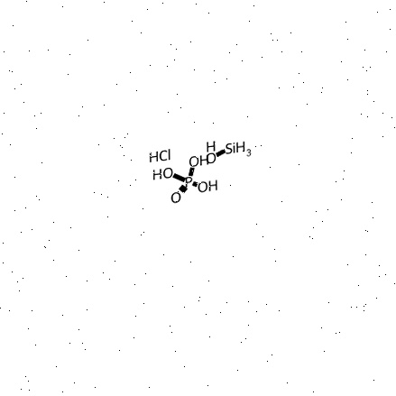 Cl.O=P(O)(O)O.O[SiH3]